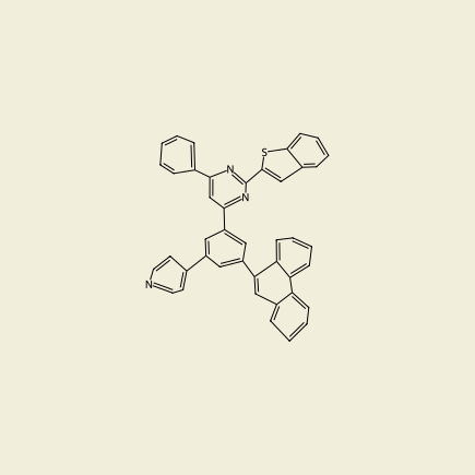 c1ccc(-c2cc(-c3cc(-c4ccncc4)cc(-c4cc5ccccc5c5ccccc45)c3)nc(-c3cc4ccccc4s3)n2)cc1